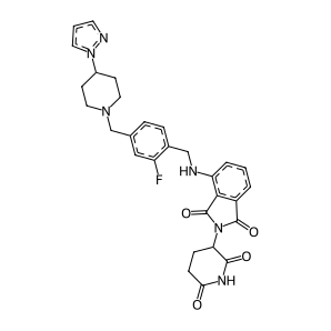 O=C1CCC(N2C(=O)c3cccc(NCc4ccc(CN5CCC(n6cccn6)CC5)cc4F)c3C2=O)C(=O)N1